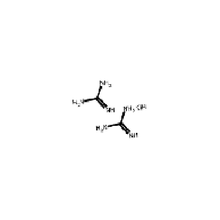 Cl.N=C(N)N.N=C(N)N